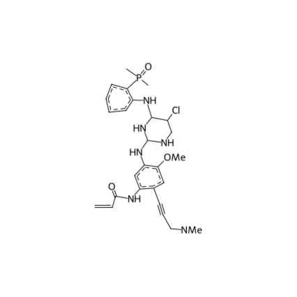 C=CC(=O)Nc1cc(NC2NCC(Cl)C(Nc3ccccc3P(C)(C)=O)N2)c(OC)cc1C#CCNC